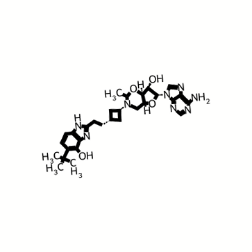 CC1O[C@H]2[C@@H](O)[C@H](n3cnc4c(N)ncnc43)O[C@@H]2CN1[C@H]1C[C@@H](CCc2nc3c(O)c(C(C)(C)C)ccc3[nH]2)C1